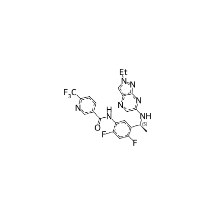 CCn1cc2ncc(N[C@@H](C)c3cc(NC(=O)c4ccc(C(F)(F)F)nc4)c(F)cc3F)nc2n1